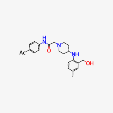 CC(=O)c1ccc(NC(=O)CN2CCC(Nc3ccc(C)cc3CO)CC2)cc1